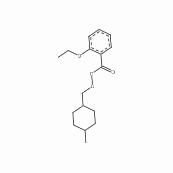 [CH2]C1CCC([CH]OOC(=O)c2ccccc2OCC)CC1